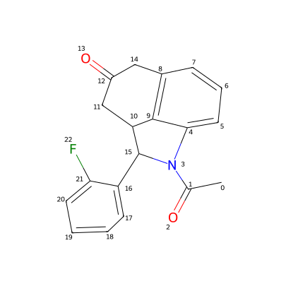 CC(=O)N1c2cccc3c2C(CC(=O)C3)C1c1ccccc1F